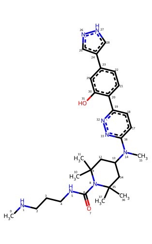 CNCCCNC(=O)N1C(C)(C)CC(N(C)c2ccc(-c3ccc(-c4cn[nH]c4)cc3O)nn2)CC1(C)C